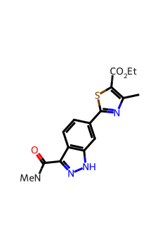 CCOC(=O)c1sc(-c2ccc3c(C(=O)NC)n[nH]c3c2)nc1C